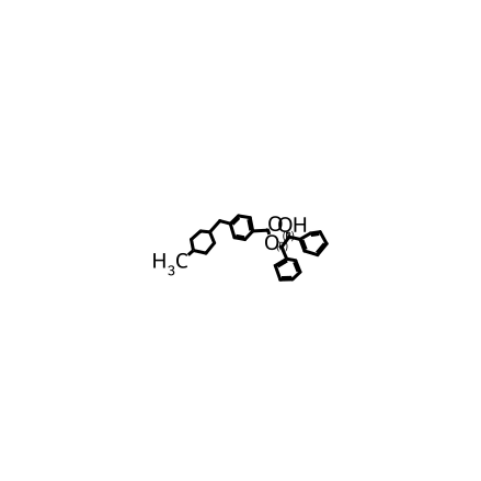 CC1CCC(Cc2ccc(C(=O)O[C@H](c3ccccc3)[C@H](O)c3ccccc3)cc2)CC1